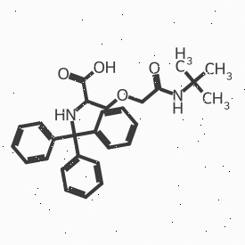 CC(C)(C)NC(=O)COCC(NC(c1ccccc1)(c1ccccc1)c1ccccc1)C(=O)O